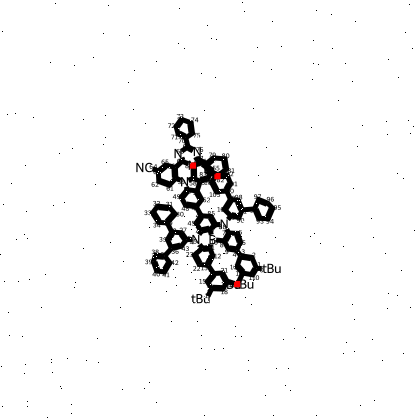 CC(C)(C)c1cc(-c2ccc3c(c2)B2c4cc(-c5cc(C(C)(C)C)cc(C(C)(C)C)c5)ccc4N(c4cc(-c5ccccc5)cc(-c5ccccc5)c4)c4cc(-c5ccc6c(c5)c5ccccc5n6-c5ccc(C#N)cc5-c5nc(-c6ccccc6)nc(-c6ccccc6)n5)cc(c42)N3c2cc(-c3ccccc3)cc(-c3ccccc3)c2)cc(C(C)(C)C)c1